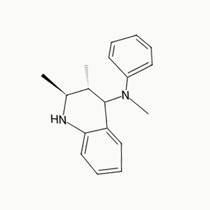 C[C@@H]1Nc2ccccc2C(N(C)c2ccccc2)[C@H]1C